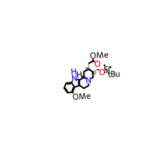 COC(=O)C[C@H]1C[C@H]2c3[nH]c4cccc(OC)c4c3CCN2C[C@H]1CO[Si](C)(C)C(C)(C)C